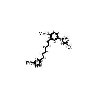 CCc1nnn(-c2ccc(OC)c(CCCCCCc3nnc(C(C)C)o3)c2)n1